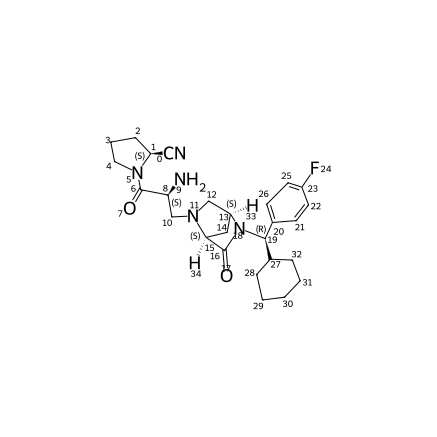 N#C[C@@H]1CCCN1C(=O)[C@@H](N)CN1C[C@@H]2C[C@H]1C(=O)N2[C@@H](c1ccc(F)cc1)C1CCCCC1